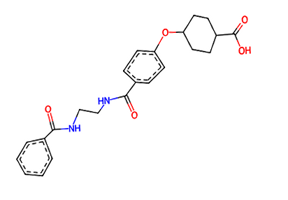 O=C(NCCNC(=O)c1ccc(OC2CCC(C(=O)O)CC2)cc1)c1ccccc1